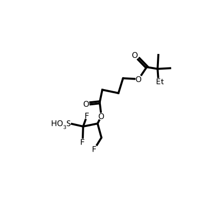 CCC(C)(C)C(=O)OCCCC(=O)OC(CF)C(F)(F)S(=O)(=O)O